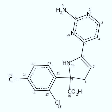 Nc1nccc(C2=CCC(C(=O)O)(c3ccc(Cl)cc3Cl)N2)n1